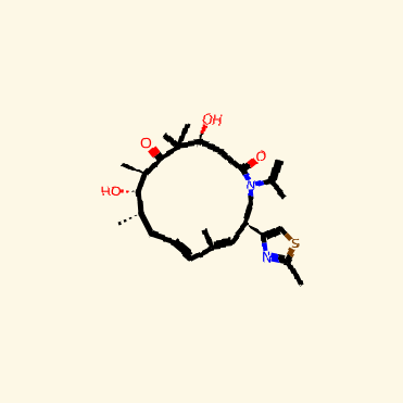 C=C(C)N1C[C@@H](c2csc(C)n2)/C=C(C)/C=C/C[C@H](C)[C@H](O)[C@@H](C)C(=O)C(C)(C)[C@@H](O)CC1=O